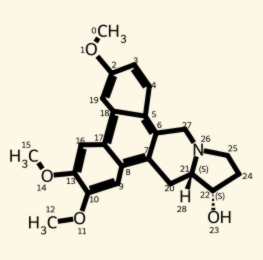 COc1ccc2c3c(c4cc(OC)c(OC)cc4c2c1)C[C@H]1[C@@H](O)CCN1C3